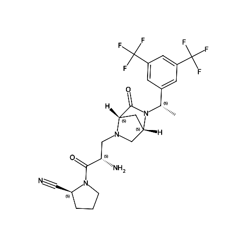 C[C@@H](c1cc(C(F)(F)F)cc(C(F)(F)F)c1)N1C(=O)[C@@H]2C[C@H]1CN2C[C@H](N)C(=O)N1CCC[C@H]1C#N